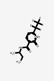 CCC(C)NC(=O)c1ccc(C(F)(F)C(F)(F)F)[nH]c1=O